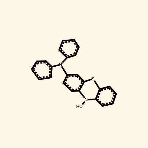 ON1c2ccccc2Sc2cc(N(c3ccccc3)c3ccccc3)ccc21